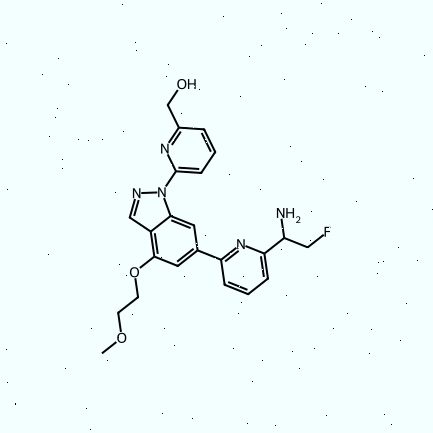 COCCOc1cc(-c2cccc(C(N)CF)n2)cc2c1cnn2-c1cccc(CO)n1